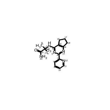 CC(C)(Nc1nc(-c2ccccn2)nc2c1CCC2)C(N)=O